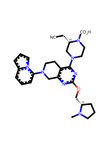 CN1CCC[C@H]1COc1nc2c(c(N3CCN(C(=O)O)[C@@H](CC#N)C3)n1)CCN(c1cccc3cccn13)C2